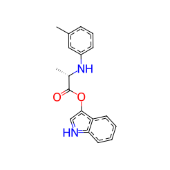 Cc1cccc(N[C@@H](C)C(=O)Oc2c[nH]c3ccccc23)c1